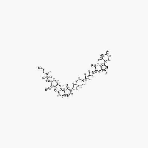 CN(CCO)S(=O)(=O)Nc1ccc(F)c(Oc2ccc3ncn(C4CC5(CCN(C6CC7(C6)CN(c6cc8c(cc6F)c(N6CCC(=O)NC6=O)nn8C)C7)CC5)C4)c(=O)c3c2)c1C#N